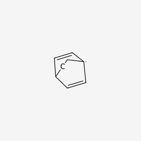 C1=CC2C=C[C]1CC2